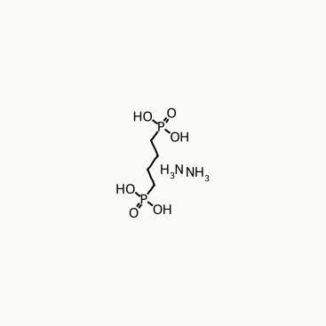 N.N.O=P(O)(O)CCCCP(=O)(O)O